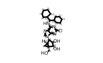 OC[C@@]12C[C@@H]1[C@@H](n1cnc3c(NC(C4CCCCC4)C4CCCCC4)nc(Cl)nc31)[C@H](O)[C@@H]2O